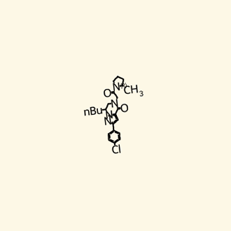 CCCCC1CN(CC(=O)N2CCC[C@H]2C)C(=O)c2cc(-c3ccc(Cl)cc3)nn21